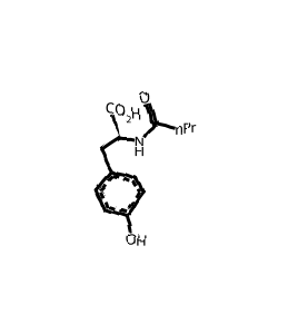 CCCC(=O)N[C@@H](Cc1ccc(O)cc1)C(=O)O